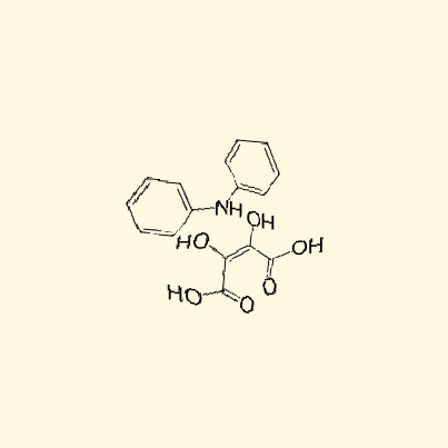 O=C(O)/C(O)=C(/O)C(=O)O.c1ccc(Nc2ccccc2)cc1